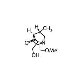 COC[C@]1(CO)C(=O)[C@H]2CCN1C[C@H]2C